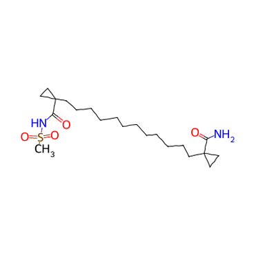 CS(=O)(=O)NC(=O)C1(CCCCCCCCCCCCC2(C(N)=O)CC2)CC1